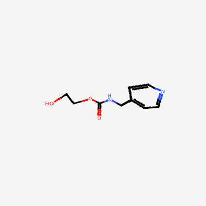 O=C(NCc1ccncc1)OCCO